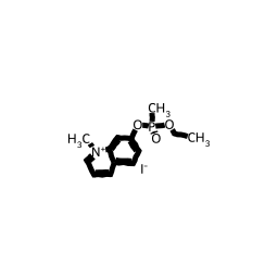 CCOP(C)(=O)Oc1ccc2ccc[n+](C)c2c1.[I-]